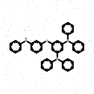 c1ccc(Nc2cccc(Oc3cc(N(c4ccccc4)c4ccccc4)cc(N(c4ccccc4)c4ccccc4)c3)c2)cc1